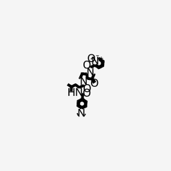 CC(C)CC(NC(=O)c1ccc(N(C)C)cc1)C(=O)N1CCC2C1C(=O)CN2C(=O)c1cccc[n+]1[O-]